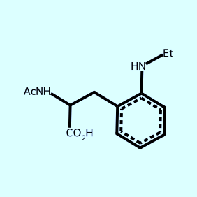 CCNc1ccccc1CC(NC(C)=O)C(=O)O